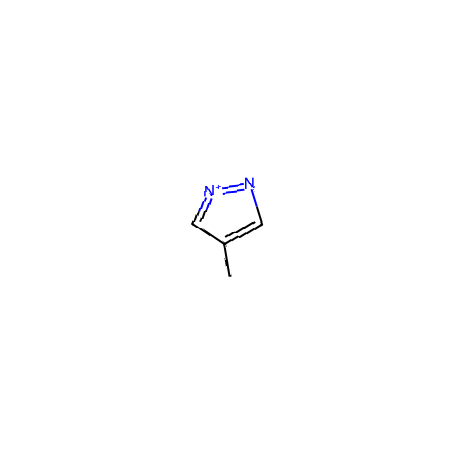 CC1=CN=[N+]=C1